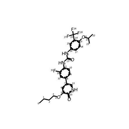 CCCCOc1cc(-c2ccc(NC(=O)Nc3ccc(OC(C)C)c(C(F)(F)F)c3)c(F)c2)c[nH]c1=O